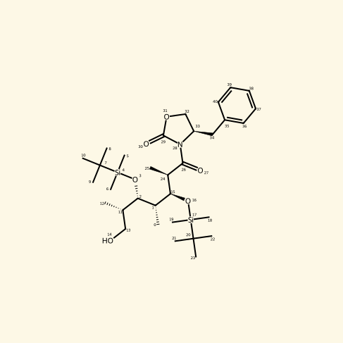 C[C@H]([C@@H](O[Si](C)(C)C(C)(C)C)[C@@H](C)CO)[C@H](O[Si](C)(C)C(C)(C)C)[C@@H](C)C(=O)N1C(=O)OC[C@H]1Cc1ccccc1